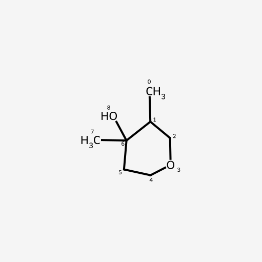 CC1COCCC1(C)O